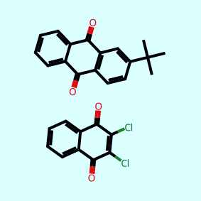 CC(C)(C)c1ccc2c(c1)C(=O)c1ccccc1C2=O.O=C1C(Cl)=C(Cl)C(=O)c2ccccc21